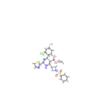 COC(=O)C1=C(C2CN(S(=O)(=O)c3ccccc3)C2)NC(c2nccs2)=NC1c1ccc(F)cc1Cl